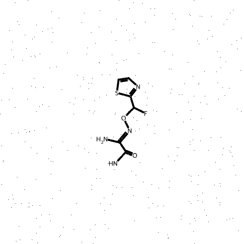 [NH]C(=O)C(N)=NOC(F)c1nccs1